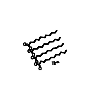 CCCCCCCCCCCC(=O)[O-].CCCCCCCCCCCC(=O)[O-].CCCCCCCCCCCC(=O)[O-].CCCCCCCCCCCC(=O)[O-].[Th+4]